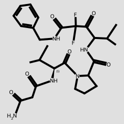 CC(C)C(NC(=O)C1CCCN1C(=O)[C@@H](NC(=O)CC(N)=O)C(C)C)C(=O)C(F)(F)C(=O)NCc1ccccc1